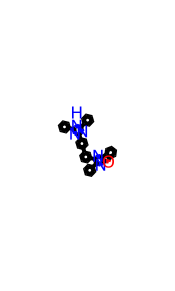 c1ccc(C2=NC(c3ccc(-c4cccc(-c5nc6c(nc5-c5ccccc5)oc5ccccc56)c4)cc3)=NC(c3ccccc3)N2)cc1